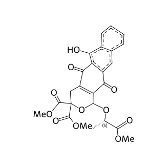 COC(=O)[C@H](C)OC1OC(C(=O)OC)(C(=O)OC)CC2=C1C(=O)c1cc3ccccc3c(O)c1C2=O